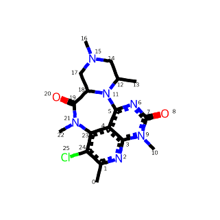 Cc1nc2c3c(nc(=O)n2C)N2C(C)CN(C)CC2C(=O)N(C)c3c1Cl